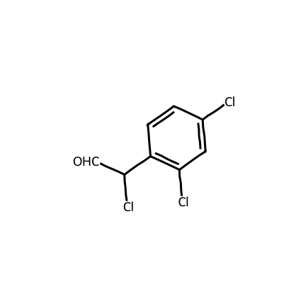 O=CC(Cl)c1ccc(Cl)cc1Cl